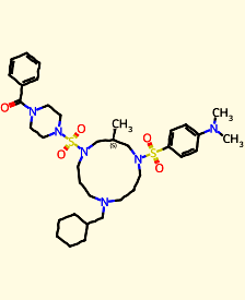 C[C@H]1CN(S(=O)(=O)c2ccc(N(C)C)cc2)CCCN(CC2CCCCC2)CCCN(S(=O)(=O)N2CCN(C(=O)c3ccccc3)CC2)C1